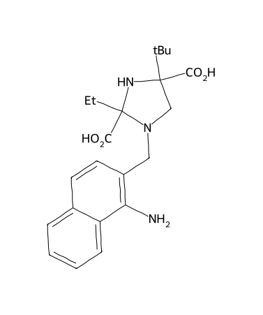 CCC1(C(=O)O)NC(C(=O)O)(C(C)(C)C)CN1Cc1ccc2ccccc2c1N